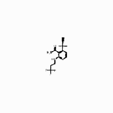 C#CC(C)(C)c1ccnc(NCCC(F)(F)F)c1C(N)=O